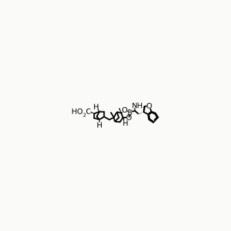 CC1(CC2C[C@@H]3C[C@H]2C[C@H]3C(=O)O)C2CC1[C@]1(C)OB([C@@H](N)C[C@@H]3COc4ccccc43)O[C@@H]1C2